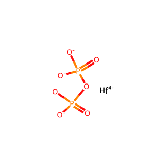 O=P([O-])([O-])OP(=O)([O-])[O-].[Hf+4]